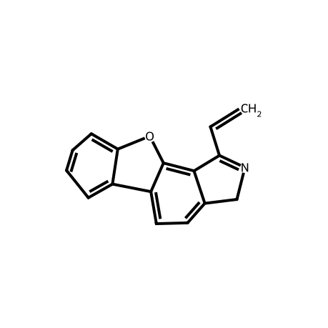 C=CC1=NCc2ccc3c(oc4ccccc43)c21